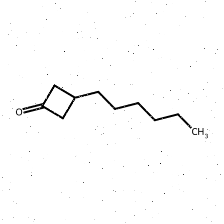 CCCCCCC1CC(=O)C1